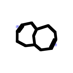 C1=C\CC2CC/C=C\CC(CC/1)C2